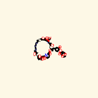 COC1CC2CCC(C)C(O)(O2)C(=O)C(=O)N2CCCCC2C(=O)OC(C(C)CC2CCC(OC(=O)C3(C)COC(C)(C)OC3)C(OC)C2)CC(=O)C(C)/C=C(\C)C(O[Si](C)(C)C)C(CO)C(=O)C(C)CC(C)/C=C/C=C/C=C/1C